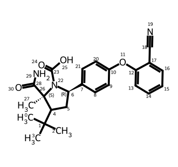 CC(C)(C)C1C[C@H](c2ccc(Oc3ccccc3C#N)cc2)N(C(=O)O)[C@]1(C)C(N)=O